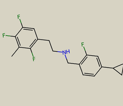 Cc1c(F)c(F)cc(CCNCc2ccc(C3CC3)cc2F)c1F